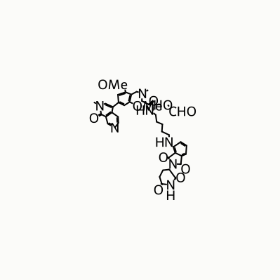 COc1cc(-c2cn(C)c(=O)c3cnccc23)cc(OC)c1CN(C)CC(=O)NCCCCCNc1cccc2c1C(=O)N(C1CCC(=O)NC1=O)C2=O.O=CO